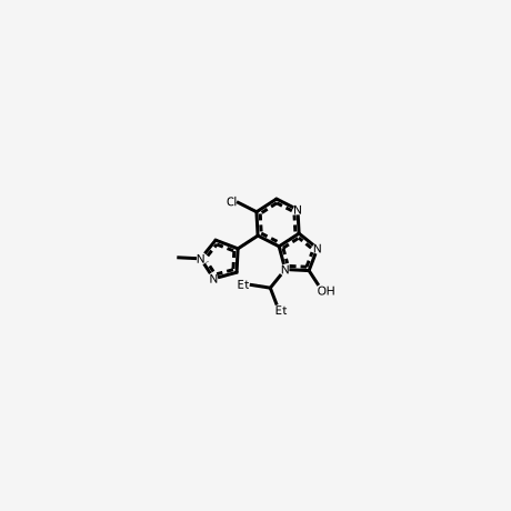 CCC(CC)n1c(O)nc2ncc(Cl)c(-c3cnn(C)c3)c21